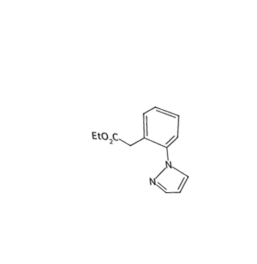 CCOC(=O)Cc1ccccc1-n1cccn1